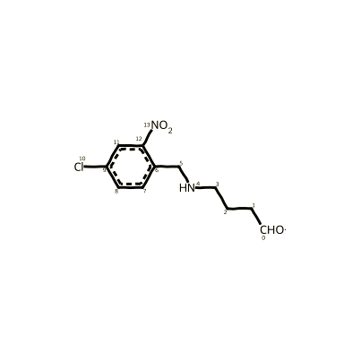 O=[C]CCCNCc1ccc(Cl)cc1[N+](=O)[O-]